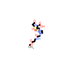 CCOC(=O)CCNC(=O)C[n+]1ccn(C[C@@]2(C)[C@H](C(=O)O)N3C(=O)CC3S2(=O)=O)n1